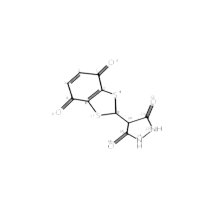 O=C1C=CC(=O)C2=C1SC(C1C(=O)NNC1=O)S2